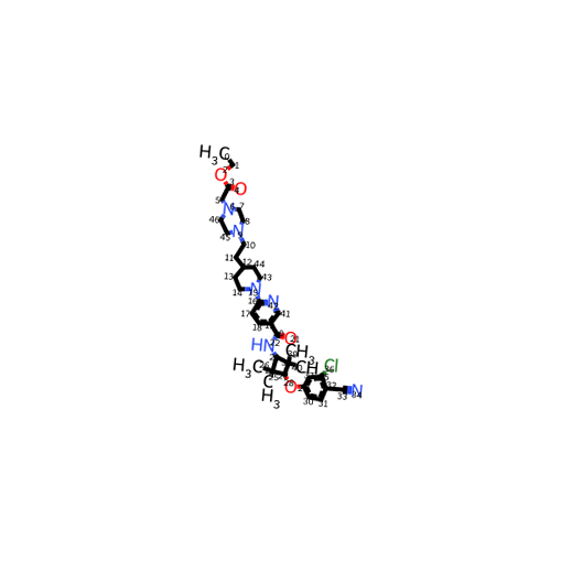 CCOC(=O)CN1CCN(CCC2CCN(c3ccc(C(=O)NC4C(C)(C)C(Oc5ccc(C#N)c(Cl)c5)C4(C)C)cn3)CC2)CC1